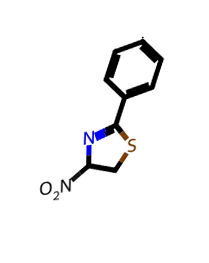 O=[N+]([O-])C1CSC(c2cc[c]cc2)=N1